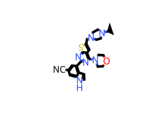 N#Cc1cc(-c2nc(N3CCOCC3)c3cc(CN4CCN(C5CC5)CC4)sc3n2)c2cc[nH]c2c1